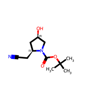 CC(C)(C)OC(=O)N1C[C@H](O)C[C@@H]1CC#N